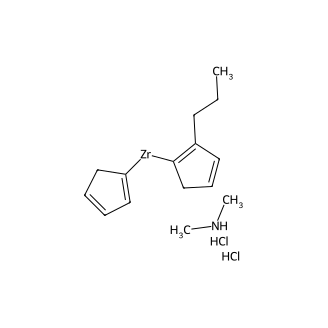 CCCC1=[C]([Zr][C]2=CC=CC2)CC=C1.CNC.Cl.Cl